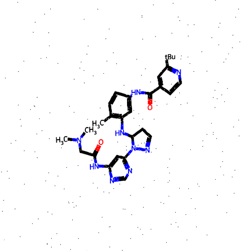 Cc1ccc(NC(=O)c2ccnc(C(C)(C)C)c2)cc1NC1CC=NN1c1cc(NC(=O)CN(C)C)ncn1